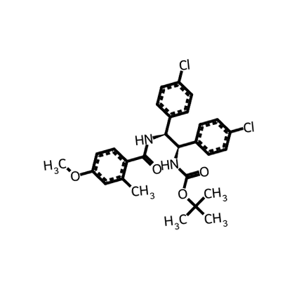 COc1ccc(C(=O)N[C@@H](c2ccc(Cl)cc2)[C@H](NC(=O)OC(C)(C)C)c2ccc(Cl)cc2)c(C)c1